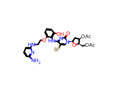 CC(=O)OC[C@H]1O[C@@H](n2cc(Br)c(Nc3c(O)cccc3OCCNc3cccc(N)n3)nc2=O)C[C@H]1OC(C)=O